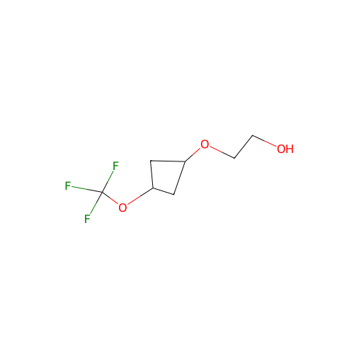 OCCOC1CC(OC(F)(F)F)C1